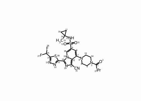 CC(C)C(=O)N1CCN(c2cc(S(=O)(=O)NC3(C)CC3)cn3c(-c4nnc(C(F)F)s4)nc(C#N)c23)CC1